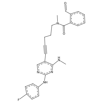 CNc1nc(Nc2ccc(F)cc2)ncc1C#CCCCN(C)C(=O)c1ccccc1C=O